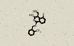 N=Cc1c(O)nc(SCc2ccccc2C(F)(F)F)c2cccc(F)c12